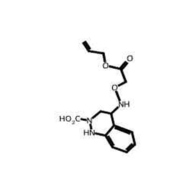 C=CCOC(=O)CONC1CN(C(=O)O)Nc2ccccc21